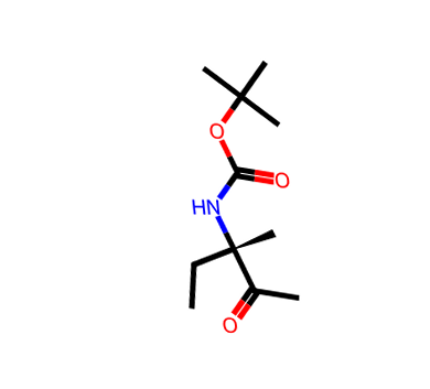 CC[C@](C)(NC(=O)OC(C)(C)C)C(C)=O